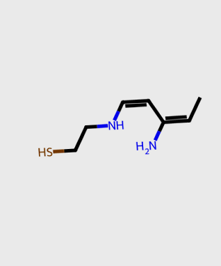 C/C=C(N)\C=C/NCCS